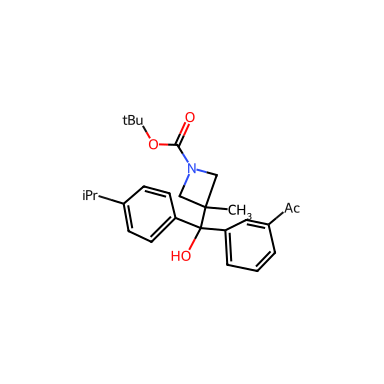 CC(=O)c1cccc(C(O)(c2ccc(C(C)C)cc2)C2(C)CN(C(=O)OC(C)(C)C)C2)c1